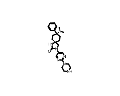 CN(C)[C@]1(c2ccccc2)CC[C@@]2(CC1)CN(c1cnc(N3CCNCC3)nc1)C(=O)N2